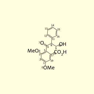 COc1cc(OC)c(C(=O)C(CO)c2ccccc2)c(C(=O)O)c1